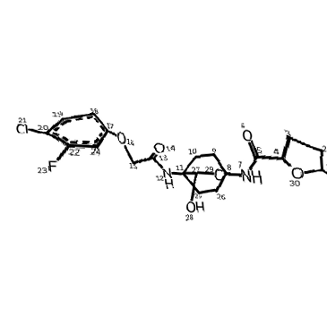 CC1CCC(C(=O)NC23CCC(NC(=O)COc4ccc(Cl)c(F)c4)(CC2)C(O)C3)O1